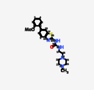 COc1ccccc1-c1ccc2nc(NC(=O)NCCN3CCN(C)CC3)sc2c1